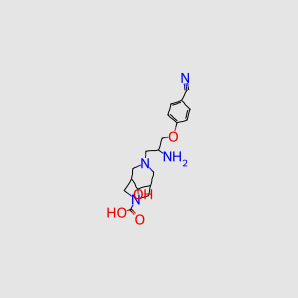 N#Cc1ccc(OCC(N)CN2CC3CN(C(=O)O)CC(C2)C3O)cc1